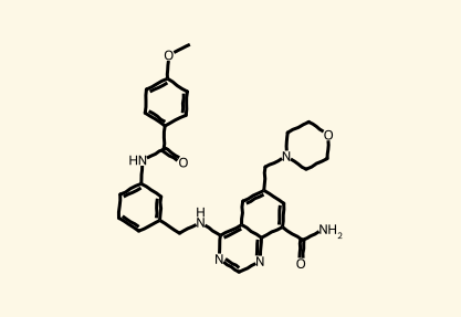 COc1ccc(C(=O)Nc2cccc(CNc3ncnc4c(C(N)=O)cc(CN5CCOCC5)cc34)c2)cc1